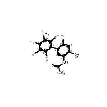 CC(=O)Nc1cc(-c2c(F)c(C)c(F)c(F)c2F)c(F)cc1O